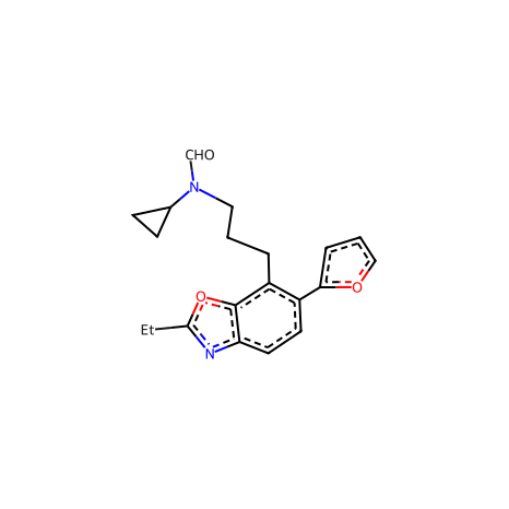 CCc1nc2ccc(-c3ccco3)c(CCCN(C=O)C3CC3)c2o1